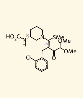 COC(OC)C(=O)/C(Cc1ccccc1Cl)=C(\SC)N1CCC[C@@H](NC(=O)O)C1